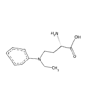 CCN(CC[C@H](N)C(=O)O)c1ccccc1